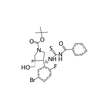 CC(C)(C)OC(=O)N1C[C@@H](CO)[C@](NC(=S)NC(=O)c2ccccc2)(c2cc(Br)ccc2F)C1